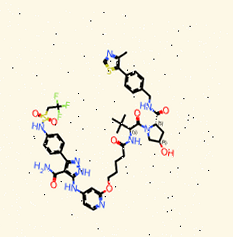 Cc1ncsc1-c1ccc(CNC(=O)[C@@H]2C[C@@H](O)CN2C(=O)[C@@H](NC(=O)CCCCOc2cc(Nc3[nH]nc(-c4ccc(NS(=O)(=O)CC(F)(F)F)cc4)c3C(N)=O)ccn2)C(C)(C)C)cc1